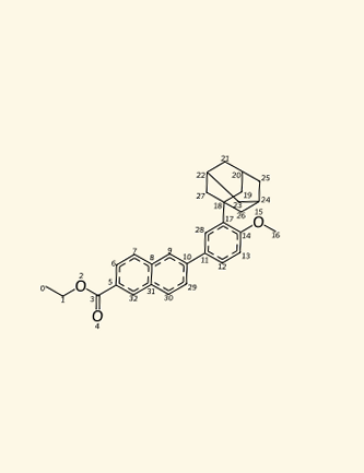 CCOC(=O)c1ccc2cc(-c3ccc(OC)c(C45CC6CC(CC(C6)C4)C5)c3)ccc2c1